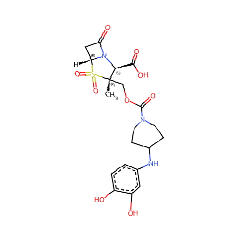 C[C@]1(COC(=O)N2CCC(Nc3ccc(O)c(O)c3)CC2)[C@H](C(=O)O)N2C(=O)C[C@H]2S1(=O)=O